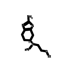 [CH2]COCCN(CCC)[C@H]1CCc2nc(N)sc2C1